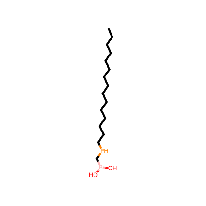 CCCCCCCCCCCCCCCPCB(O)O